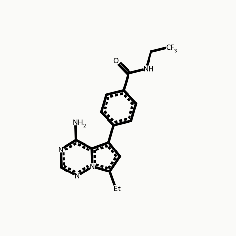 CCc1cc(-c2ccc(C(=O)NCC(F)(F)F)cc2)c2c(N)ncnn12